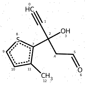 C#CC(O)(CC=O)c1sccc1C